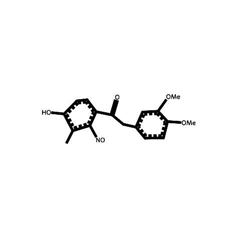 COc1ccc(CC(=O)c2ccc(O)c(C)c2N=O)cc1OC